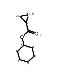 O=C(OC1CCCCC1)C1CO1